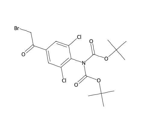 CC(C)(C)OC(=O)N(C(=O)OC(C)(C)C)c1c(Cl)cc(C(=O)CBr)cc1Cl